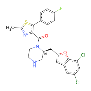 Cc1nc(C(=O)N2CCNC[C@@H]2Cc2cc3cc(Cl)cc(Cl)c3o2)c(-c2ccc(F)cc2)s1